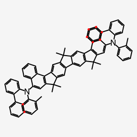 Cc1ccccc1N(c1ccccc1-c1ccccc1)c1cc2c(c3ccccc13)-c1cc3c(cc1C2(C)C)-c1cc2c(cc1C3(C)C)-c1c(cc(N(c3ccccc3C)c3ccccc3-c3ccccc3)c3ccccc13)C2(C)C